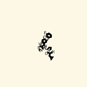 N#CC(=CC1CC1)C(=O)N1CCC[C@H]1Cn1nc(-c2ccc(Oc3c(F)cccc3F)cc2)c2c(N)ncnc21